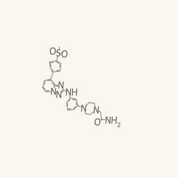 CS(=O)(=O)c1ccc(-c2cccn3nc(Nc4cccc(N5CCN(CC(N)=O)CC5)c4)nc23)cc1